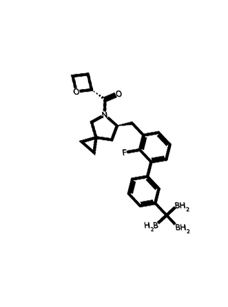 BC(B)(B)c1cccc(-c2cccc(C[C@H]3CC4(CC4)CN3C(=O)[C@H]3CCO3)c2F)c1